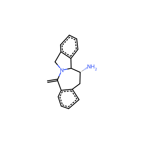 C=C1c2ccccc2C[C@@H](N)C2c3ccccc3CN12